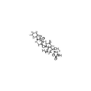 Cc1cc(CN2[C@@H](C)CC[C@H](c3ccccc3)S2(=O)=O)c(F)cc1C(C)(C)[C@@H]1CNC(=O)O1